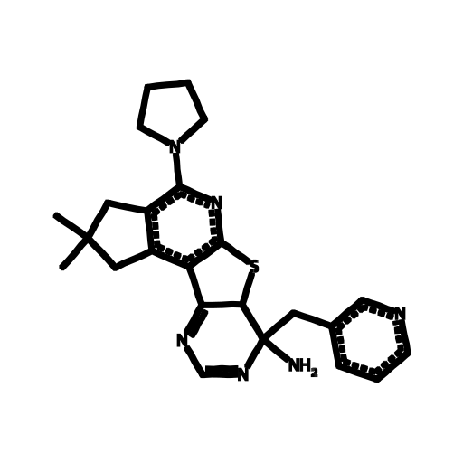 CC1(C)Cc2c(N3CCCC3)nc3c(c2C1)C1=NC=NC(N)(Cc2cccnc2)C1S3